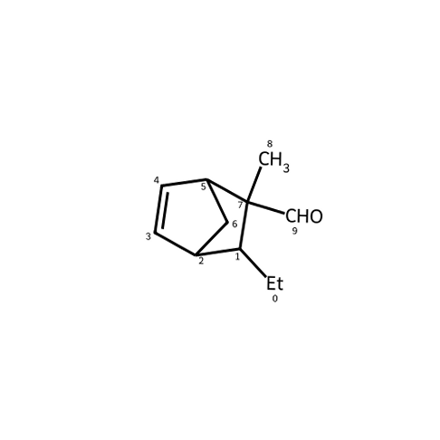 CCC1C2C=CC(C2)C1(C)C=O